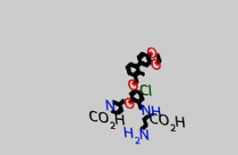 Cc1c(COc2cc(OCc3cncc(C(=O)O)c3)c(CNC(CCCN)C(=O)O)cc2Cl)cccc1-c1ccc2c(c1)OCCO2